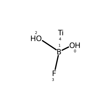 OB(O)F.[Ti]